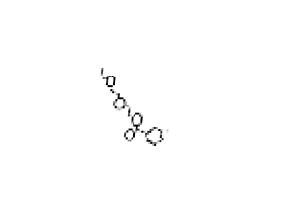 CCOCCOCCOC(=O)c1c[c]ccc1